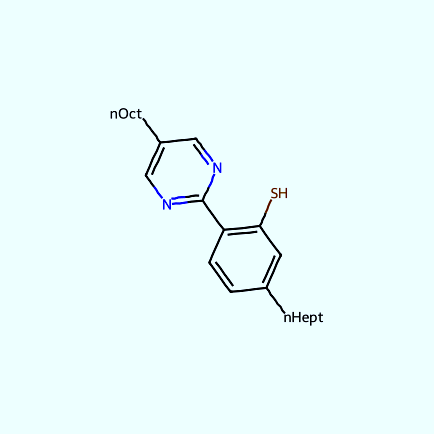 CCCCCCCCc1cnc(-c2ccc(CCCCCCC)cc2S)nc1